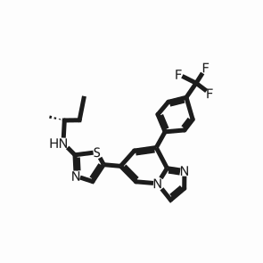 CC[C@@H](C)Nc1ncc(-c2cc(-c3ccc(C(F)(F)F)cc3)c3nccn3c2)s1